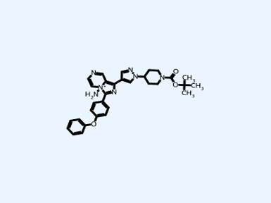 CC(C)(C)OC(=O)N1CCC(n2cc(C3=C4C=NC=C[N+]4(N)C(c4ccc(Oc5ccccc5)cc4)=N3)cn2)CC1